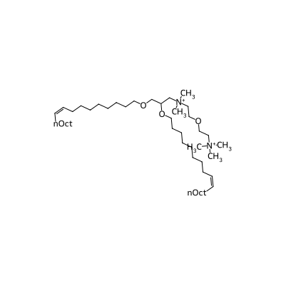 CCCCCCCC/C=C\CCCCCCCCOCC(C[N+](C)(C)CCOCC[N+](C)(C)C)OCCCCCCCC/C=C\CCCCCCCC